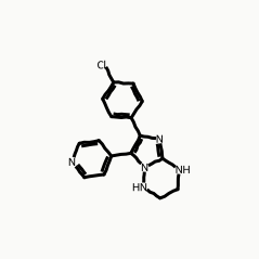 Clc1ccc(-c2nc3n(c2-c2ccncc2)NCCN3)cc1